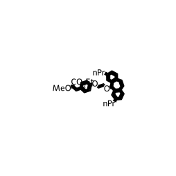 CCCc1ccc2c(c1)C(OCCOc1ccc(CC(OC)C(=O)OCC)cc1)c1cc(CCC)ccc1C=C2